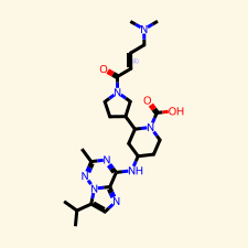 Cc1nc(NC2CCN(C(=O)O)C(C3CCN(C(=O)/C=C/CN(C)C)C3)C2)c2ncc(C(C)C)n2n1